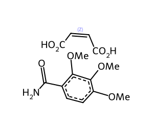 COc1ccc(C(N)=O)c(OC)c1OC.O=C(O)/C=C\C(=O)O